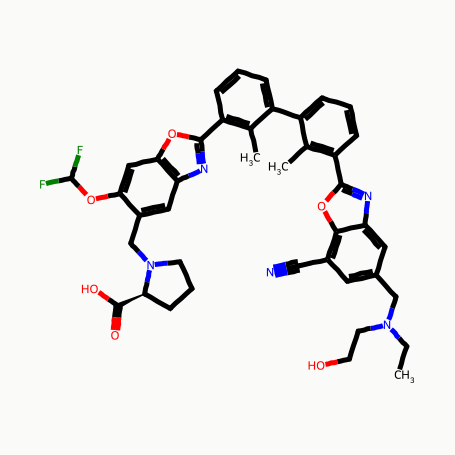 CCN(CCO)Cc1cc(C#N)c2oc(-c3cccc(-c4cccc(-c5nc6cc(CN7CCC[C@H]7C(=O)O)c(OC(F)F)cc6o5)c4C)c3C)nc2c1